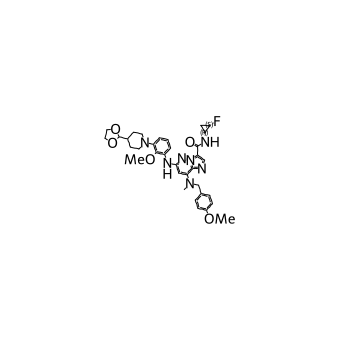 COc1ccc(CN(C)c2cc(Nc3cccc(N4CCC(C5OCCO5)CC4)c3OC)nn3c(C(=O)N[C@@H]4C[C@@H]4F)cnc23)cc1